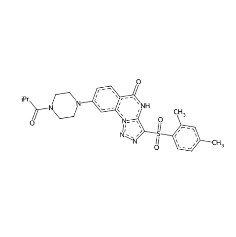 Cc1ccc(S(=O)(=O)c2nnn3c2[nH]c(=O)c2ccc(N4CCN(C(=O)C(C)C)CC4)cc23)c(C)c1